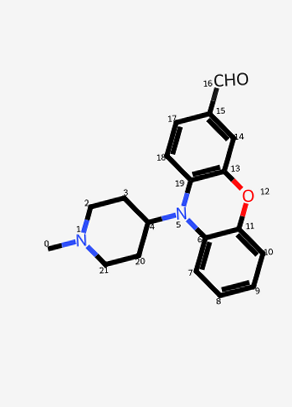 CN1CCC(N2c3ccccc3Oc3cc(C=O)ccc32)CC1